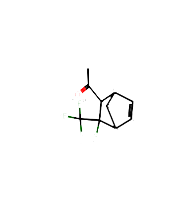 CC(=O)C1C2C=CC(C2)C1(F)C(F)(F)F